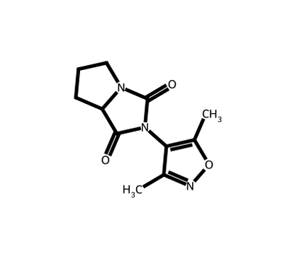 Cc1noc(C)c1N1C(=O)C2CCCN2C1=O